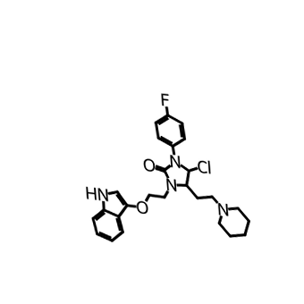 O=C1N(CCOc2c[nH]c3ccccc23)C(CCN2CCCCC2)C(Cl)N1c1ccc(F)cc1